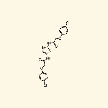 O=C(COc1ccc(Cl)cc1)Nc1cnc(NC(=O)COc2ccc(Cl)cc2)s1